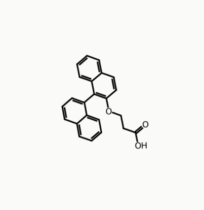 O=C(O)CCOc1ccc2ccccc2c1-c1cccc2ccccc12